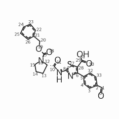 O=Cc1ccc(-c2nc(NC(=O)[C@@H]3CCCN3C(=O)OCc3ccccc3)sc2C(=O)O)cc1